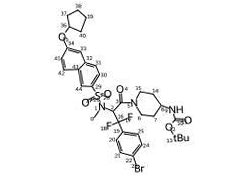 CN(C(C(=O)N1CCC(NC(=O)OC(C)(C)C)CC1)C(F)(F)c1ccc(Br)cc1)S(=O)(=O)c1ccc2cc(OC3CCCC3)ccc2c1